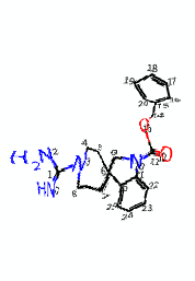 N=C(N)N1CCC2(CC1)CN(C(=O)OCc1ccccc1)c1ccccc12